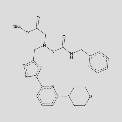 CC(C)(C)OC(=O)CN(Cc1cc(-c2cccc(N3CCOCC3)n2)no1)NC(=O)NCc1ccccc1